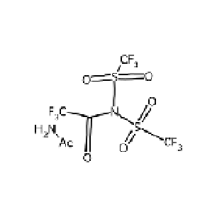 CC(N)=O.O=C(N(S(=O)(=O)C(F)(F)F)S(=O)(=O)C(F)(F)F)C(F)(F)F